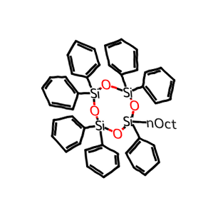 [CH2]CCCCCCC[Si]1(c2ccccc2)O[Si](c2ccccc2)(c2ccccc2)O[Si](c2ccccc2)(c2ccccc2)O[Si](c2ccccc2)(c2ccccc2)O1